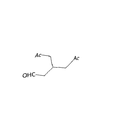 CC(=O)CC(CC=O)CC(C)=O